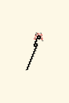 CCCCCCCCCCCCCCCCCCc1ccc(C=CC(=O)c2cc(OC)c(OC)c(OC)c2OC)cc1